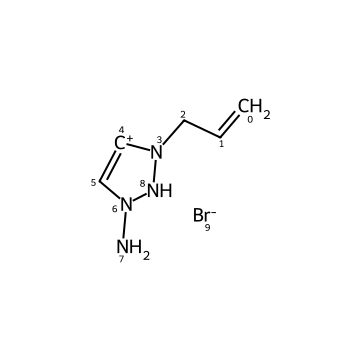 C=CCN1[C+]=CN(N)N1.[Br-]